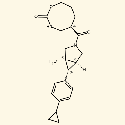 C[C@]12CN(C(=O)[C@@H]3CCCOC(=O)NC3)C[C@H]1[C@@H]2c1ccc(C2CC2)cc1